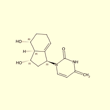 C=C1C=CN([C@H]2C[C@H](O)[C@@H]3C2=CCC[C@H]3O)C(=O)N1